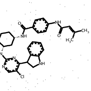 CC(C)=CC(=O)Nc1ccc(C(=O)N[C@H]2CCC[C@@H](Nc3ncc(Cl)c(C4CNc5ccccc54)n3)C2)cc1